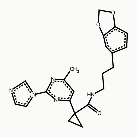 Cc1cc(C2(C(=O)NCCCc3ccc4c(c3)OCO4)CC2)nc(-n2ccnc2)n1